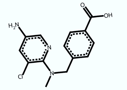 CN(Cc1ccc(C(=O)O)cc1)c1ncc(N)cc1Cl